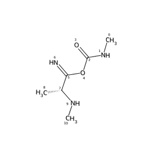 CNC(=O)OC(=N)[C@@H](C)NC